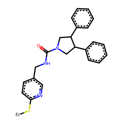 CCSc1ccc(CNC(=O)N2CC(c3ccccc3)C(c3ccccc3)C2)cn1